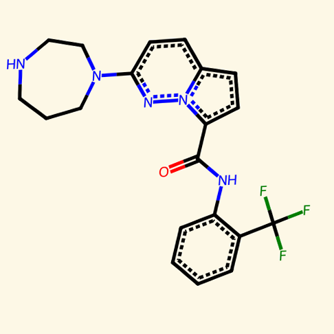 O=C(Nc1ccccc1C(F)(F)F)c1ccc2ccc(N3CCCNCC3)nn12